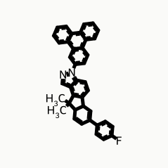 CC1(C)c2c(ccc3c2cnn3-c2ccc3c4ccccc4c4ccccc4c3c2)C2C=C(c3ccc(F)cc3)C=CC21